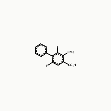 CNc1c(C(=O)O)cc(F)c(-c2ccccc2)c1C